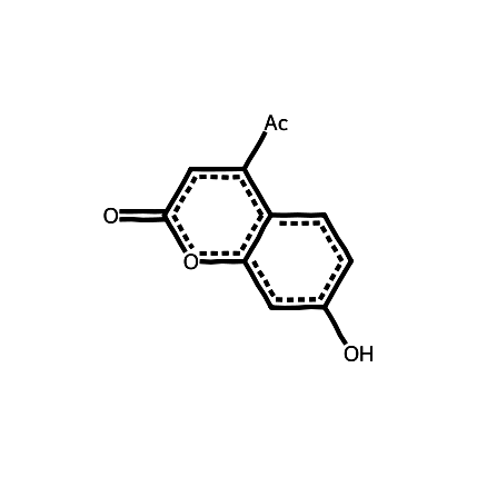 CC(=O)c1cc(=O)oc2cc(O)ccc12